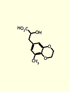 Cc1cc(CC(O)C(=O)O)cc2c1OCCO2